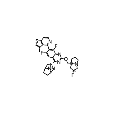 Cc1csc2ccnc(-c3c(F)cc4c(N5CC6CCC(C5)N6)nc(OC[C@@]56CCCN5C[C@H](F)C6)nc4c3F)c12